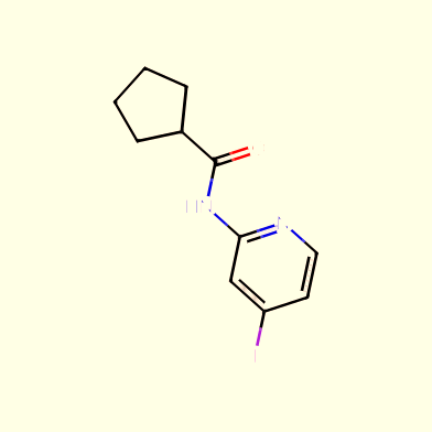 O=C(Nc1cc(I)ccn1)C1CCCC1